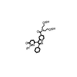 COCCN(CCOC)C(=O)c1ccn2nc(-c3ccccc3)c(-c3ccc(=O)n(C(C)C)n3)c2c1